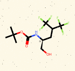 CC(C)(C)OC(=O)N[C@H](CO)CC(C(F)(F)F)C(F)(F)F